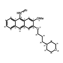 COc1cc2c(NC(C)C)c3ccccc3nc2cc1OCCCN1CCOCC1